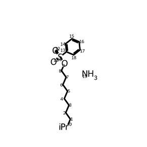 CC(C)CCCCCCCCOS(=O)(=O)c1ccccc1.N